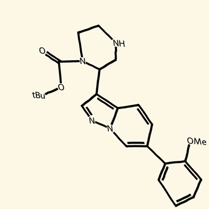 COc1ccccc1-c1ccc2c(C3CNCCN3C(=O)OC(C)(C)C)cnn2c1